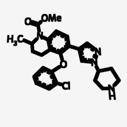 COC(=O)N1c2ccc(-c3cnn(C4CCNCC4)c3)c(Oc3ccccc3Cl)c2CCC1C